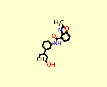 CCC(CCO)C1CCC[C@@H](NC(=O)c2cccc3oc(C)nc23)C1